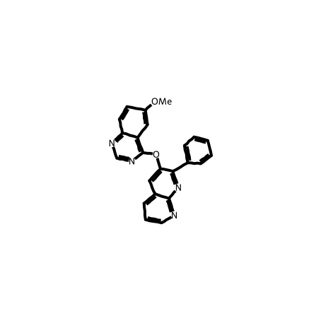 COc1ccc2ncnc(Oc3cc4cccnc4nc3-c3ccccc3)c2c1